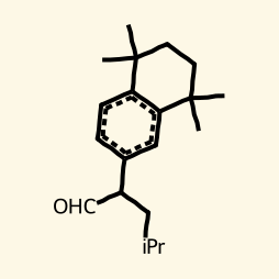 CC(C)CC(C=O)c1ccc2c(c1)C(C)(C)CCC2(C)C